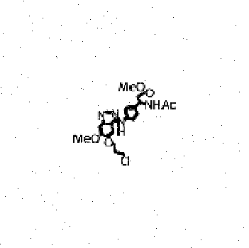 COC(=O)CC(NC(C)=O)c1ccc(Nc2ncnc3cc(OC)c(OCCCCl)cc23)cc1